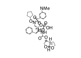 CNc1cccc(S(=O)(=O)N(C[C@@H](OP(=O)(O)O)[C@H](Cc2ccccc2)NC(=O)O[C@H]2CO[C@H]3OCC[C@H]32)OC2CCCC2)c1